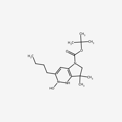 CCCCC1=CC2=C(NN1O)C(C)(C)CN2C(=O)OC(C)(C)C